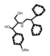 CSc1ccc(C(O)C(CO)NCC(c2ccccc2)c2ccccc2)cc1